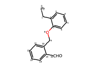 CC(C)Cc1ccccc1OCc1ccccc1C=O